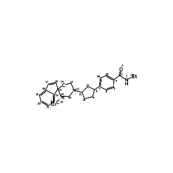 CCNC(=O)c1ccc(C2CCC(N3CCC4(C=Cc5ccccc54)[C@@H](C)C3)C2)cc1